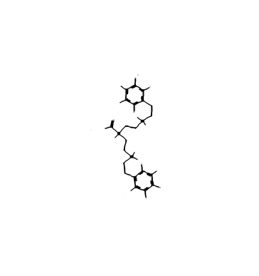 C=C(C(=O)O)C(CCC1(C)CCc2c(C)c(O)c(C)c(C)c2O1)(CCC1(C)CCc2c(C)c(O)c(C)c(C)c2O1)C(=O)O